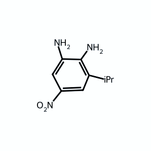 CC(C)c1cc([N+](=O)[O-])cc(N)c1N